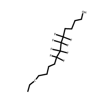 CCCCCCCC(F)(F)C(F)(F)C(F)(F)C(F)(F)CCCCO